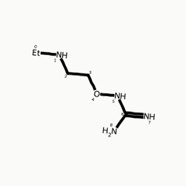 CCNCCONC(=N)N